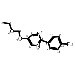 CCOCOc1cnc(-c2ccc(F)cc2)nc1